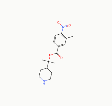 Cc1cc(C(=O)OC(C)(C)C2CCNCC2)ccc1[N+](=O)[O-]